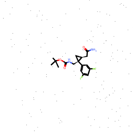 CC(C)(C)OC(=O)NC[C@@]1(c2cc(F)cc(F)c2)C[C@H]1CC(N)=O